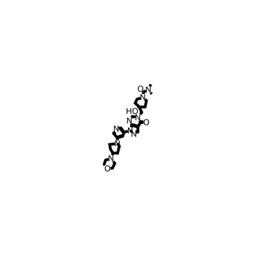 CN(C)C(=O)N1CCC(O)(Cn2cnc3c(cnn3-c3cncc(N4CCC(N5CCOCC5)CC4)c3)c2=O)CC1